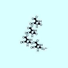 O=C=C1NC(=O)NC1C(=O)[O-].O=C=C1NC(=O)NC1C(=O)[O-].O=C=C1NC(=O)NC1C(=O)[O-].O=C=C1NC(=O)NC1C(=O)[O-].[Li+4]